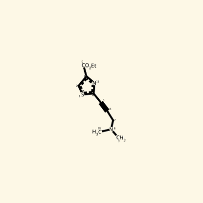 CCOC(=O)c1csc(C#CCN(C)C)n1